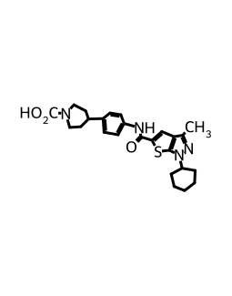 Cc1nn(C2CCCCC2)c2sc(C(=O)Nc3ccc(C4CCN(C(=O)O)CC4)cc3)cc12